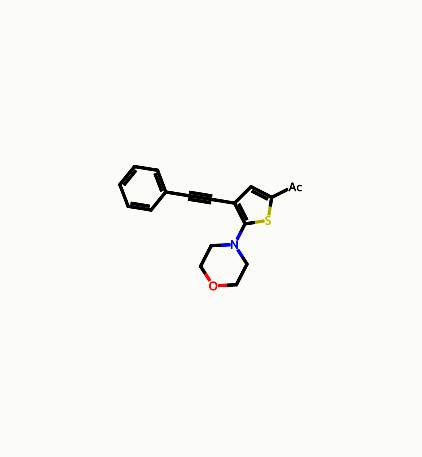 CC(=O)c1cc(C#Cc2ccccc2)c(N2CCOCC2)s1